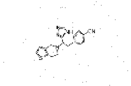 N#Cc1ccc(CC(c2cnc[nH]2)N2CCc3sccc3C2)cc1